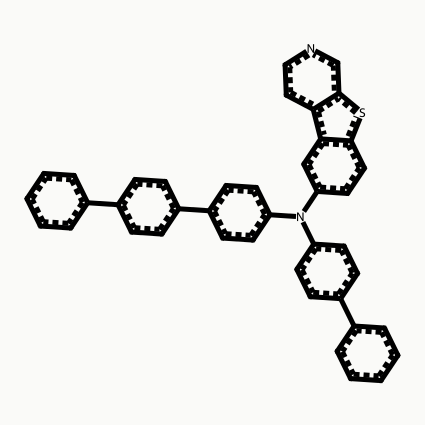 c1ccc(-c2ccc(-c3ccc(N(c4ccc(-c5ccccc5)cc4)c4ccc5sc6cnccc6c5c4)cc3)cc2)cc1